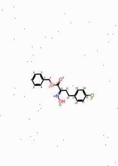 O=C(OCc1ccccc1)C(CCc1ccc(Cl)cc1)=NO